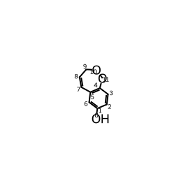 Oc1ccc2c(c1)C=CCOO2